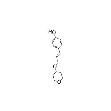 Oc1ccc(/C=C/COC2CCOCC2)cc1